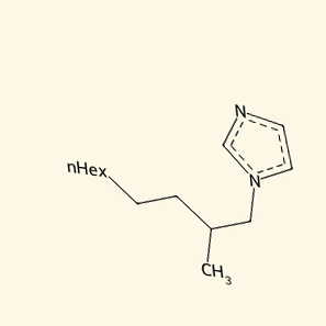 CCCCCCCCC(C)Cn1ccnc1